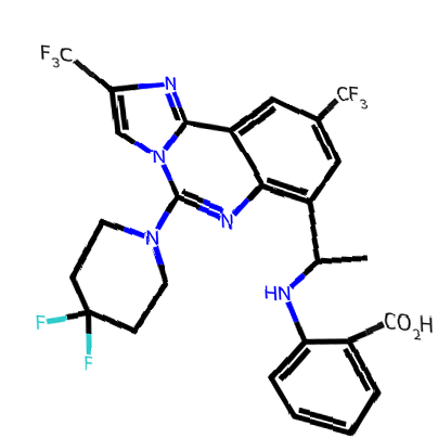 CC(Nc1ccccc1C(=O)O)c1cc(C(F)(F)F)cc2c1nc(N1CCC(F)(F)CC1)n1cc(C(F)(F)F)nc21